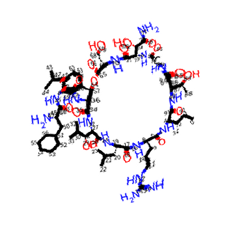 CC[C@H](C)C1NC(=O)[C@@H](CCCNC(=N)N)NC(=O)[C@H](CC(C)C)NC(=O)[C@H]([C@H](O)C(C)C)NC(=O)[C@@H](NC(=O)[C@H](CC(C)C)NC(=O)[C@@H](N)CC2CCCCC2)[C@@H](c2ccccc2)OC(=O)[C@H](CO)NC(=O)[C@H]([C@H](O)C(N)=O)NC(=O)CNC(=O)C([C@H](C)O)NC1=O